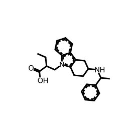 CCC(Cn1c2c(c3ccccc31)CC(NC(C)c1ccccc1)CC2)C(=O)O